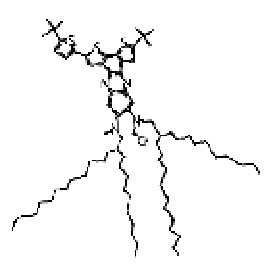 CCCCCCCCCCCCC(CCCCCCCCCC)CN(C)c1cc2nc3c4cc(-c5ccc(C(C)(C)C)s5)sc4c4sc(C(C)(C)C)cc4c3nc2cc1N(C=O)CC(CCCCCCCCCC)CCCCCCCCCCCC